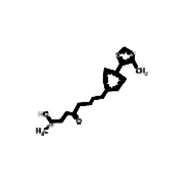 Cc1ncsc1-c1ccc(CCCCC(=O)CC[C@H](C)O)cc1